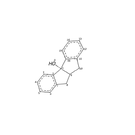 OC12c3ccccc3CC1Cc1ccccc12